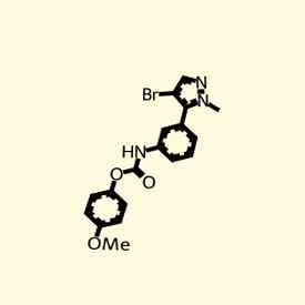 COc1ccc(OC(=O)Nc2cccc(-c3c(Br)cnn3C)c2)cc1